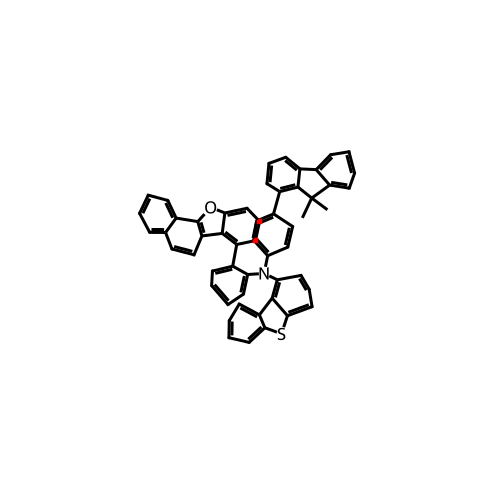 CC1(C)c2ccccc2-c2cccc(-c3ccc(N(c4ccccc4-c4cccc5oc6c7ccccc7ccc6c45)c4cccc5sc6ccccc6c45)cc3)c21